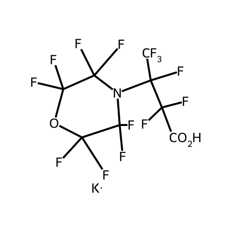 O=C(O)C(F)(F)C(F)(N1C(F)(F)C(F)(F)OC(F)(F)C1(F)F)C(F)(F)F.[K]